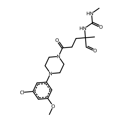 CNC(=O)NC(C)(C=O)CCC(=O)N1CCN(c2cc(Cl)cc(OC)c2)CC1